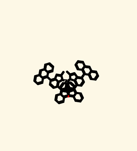 CC1=Cc2c(-c3c4ccccc4cc4ccccc34)ccc(-c3c4ccccc4cc4ccccc34)c2[CH]1[Zr]([CH]1C(C)=Cc2c(-c3c4ccccc4cc4ccccc34)ccc(-c3c4ccccc4cc4ccccc34)c21)[SiH](C)C